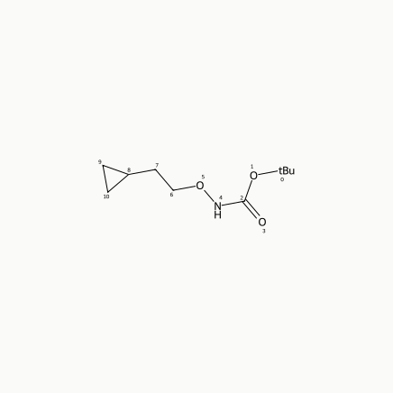 CC(C)(C)OC(=O)NOCCC1CC1